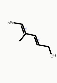 CCC/C=C(C)/C=C/CO